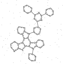 c1ccc(-c2nc(-c3ccccc3)nc(-c3cccc(-n4c5ccccc5c5c6c7cccnc7sc6c6c(c7ccccc7n6-c6ccccc6)c54)c3)n2)cc1